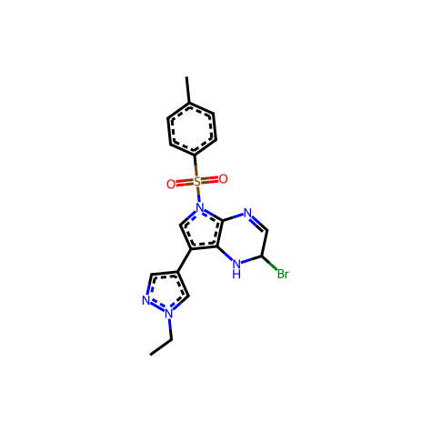 CCn1cc(-c2cn(S(=O)(=O)c3ccc(C)cc3)c3c2NC(Br)C=N3)cn1